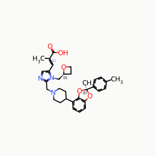 C/C(=C\c1cnc(CN2CCC(c3cccc4c3O[C@@](C)(c3ccc(C)cc3)O4)CC2)n1C[C@@H]1CCO1)C(=O)O